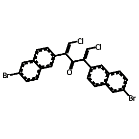 O=C(C(=CCl)c1ccc2cc(Br)ccc2c1)C(=CCl)c1ccc2cc(Br)ccc2c1